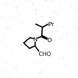 CC(C)C(C)C(=O)N1CCCC1C=O